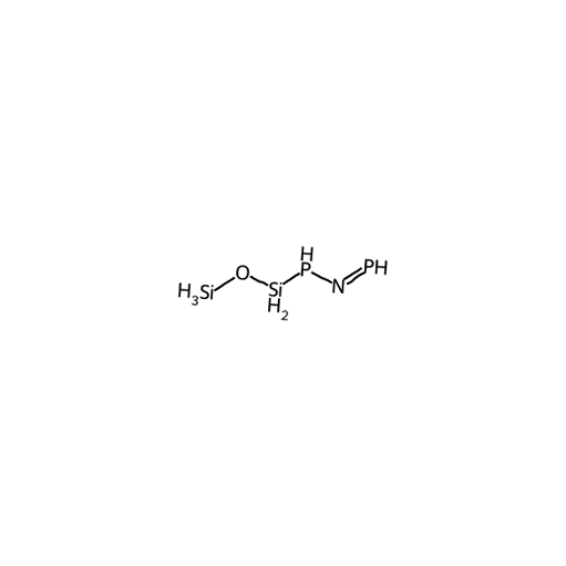 [SiH3]O[SiH2]PN=P